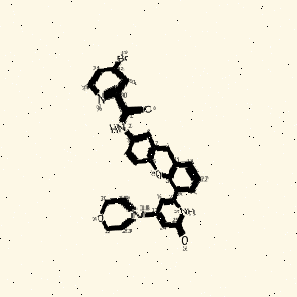 O=C(Nc1ccc2c(c1)Cc1cccc(-c3cc(N4CCOCC4)cc(=O)[nH]3)c1O2)c1cc(Br)ccn1